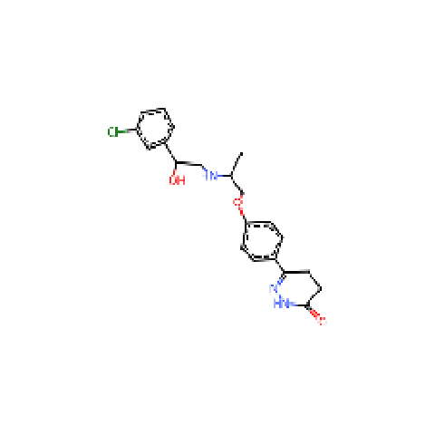 CC(COc1ccc(C2=NNC(=O)CC2)cc1)NCC(O)c1cccc(Cl)c1